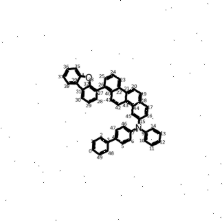 c1ccc(-c2ccc(N(c3ccccc3)c3ccc4ccc5c6cccc(-c7cccc8c7oc7ccccc78)c6ccc5c4c3)cc2)cc1